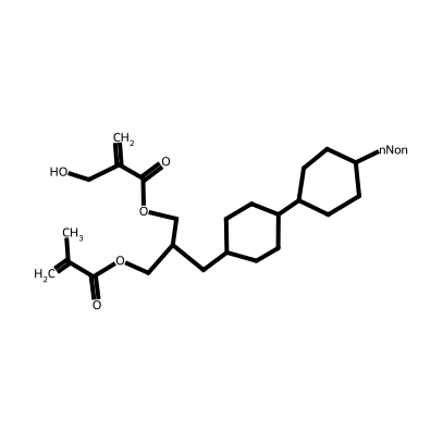 C=C(C)C(=O)OCC(COC(=O)C(=C)CO)CC1CCC(C2CCC(CCCCCCCCC)CC2)CC1